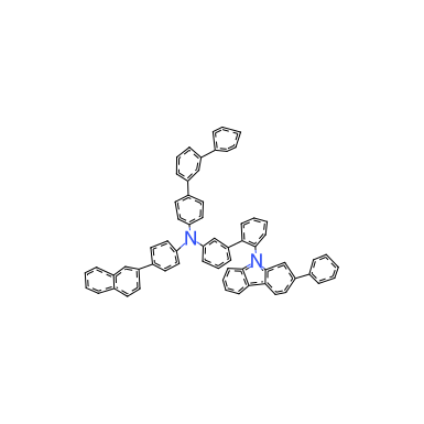 c1ccc(-c2cccc(-c3ccc(N(c4ccc(-c5ccc6ccccc6c5)cc4)c4cccc(-c5ccccc5-n5c6ccccc6c6ccc(-c7ccccc7)cc65)c4)cc3)c2)cc1